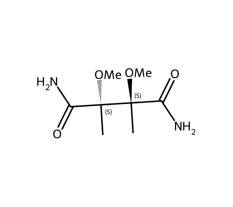 CO[C@](C)(C(N)=O)[C@](C)(OC)C(N)=O